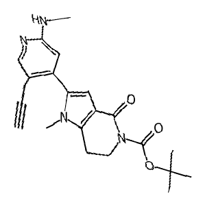 C#Cc1cnc(NC)cc1-c1cc2c(n1C)CCN(C(=O)OC(C)(C)C)C2=O